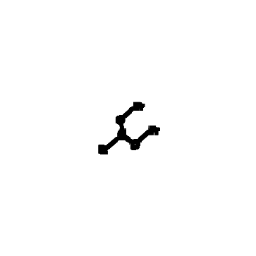 CC[Si](OC(C)C)OC(C)C